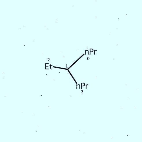 CCCC(CC)CCC